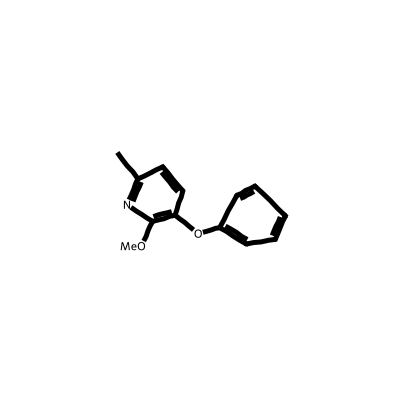 COc1nc(C)ccc1Oc1ccccc1